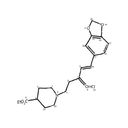 CCOC(=O)C1CCN(CCC(=O)C=Cc2ccc3c(c2)OCO3)CC1.Cl